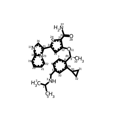 CC(C)NCc1ccc([C@@H](C)Oc2cc(-c3cnc4ccccn34)sc2C(N)=O)c(C2CC2)c1